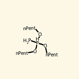 CCCCCO[PH](P)(OCCCCC)OCCCCC